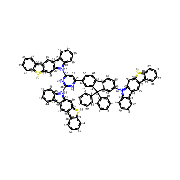 c1ccc(C2(c3ccccc3)c3cc(-c4cc(-n5c6ccccc6c6cc7c(cc65)sc5ccccc57)nc(-n5c6ccccc6c6cc7c(cc65)sc5ccccc57)n4)ccc3-c3ccc(-n4c5ccccc5c5cc6c(cc54)sc4ccccc46)cc32)cc1